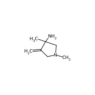 C=C1CN(C)CC1(C)N